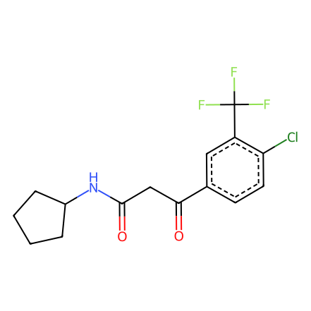 O=C(CC(=O)c1ccc(Cl)c(C(F)(F)F)c1)NC1CCCC1